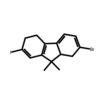 CC1(C)C2=C(CCC(I)=C2)C2=CC=C(Br)CC21